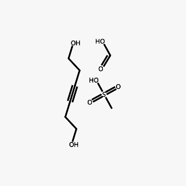 CS(=O)(=O)O.O=CO.OCCC#CCCO